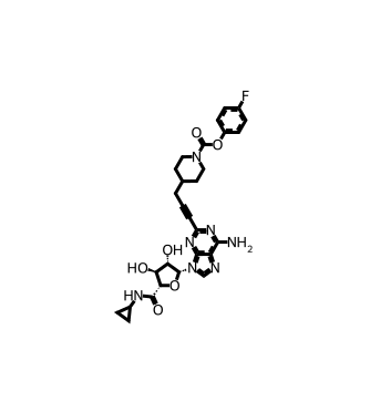 Nc1nc(C#CCC2CCN(C(=O)Oc3ccc(F)cc3)CC2)nc2c1ncn2[C@@H]1O[C@H](C(=O)NC2CC2)[C@@H](O)[C@@H]1O